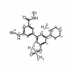 CCNC(=O)c1cc(-c2nc(N=S(C)(C)=O)cc(N3CCOC[C@H]3C)n2)cc(NC(C)(C)C)n1